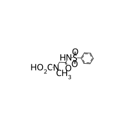 CN(CC(=O)NS(=O)(=O)c1ccccc1)C(=O)O